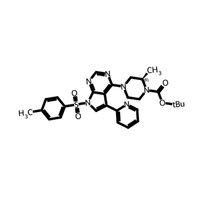 Cc1ccc(S(=O)(=O)n2cc(-c3ccccn3)c3c(N4CCN(C(=O)OC(C)(C)C)[C@H](C)C4)ncnc32)cc1